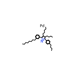 CCCCCCCCc1cccc(C2=C(CCCCC)C(CCCC)=C(c3ccc(CCCC)cc3)[N+]2=[N-])c1.[Pd]